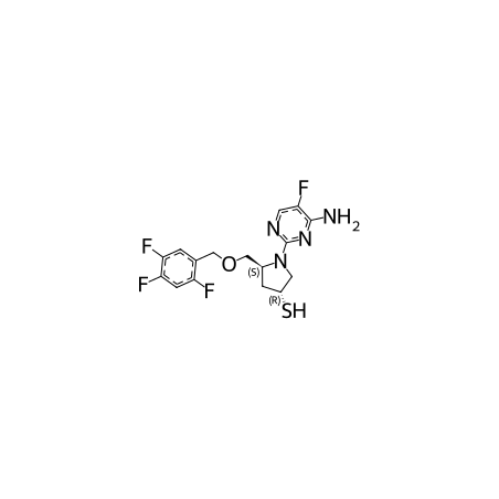 Nc1nc(N2C[C@H](S)C[C@H]2COCc2cc(F)c(F)cc2F)ncc1F